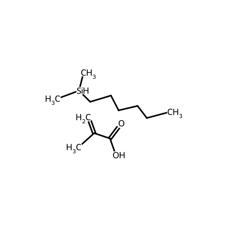 C=C(C)C(=O)O.CCCCCC[SiH](C)C